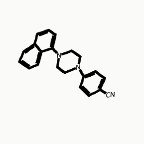 N#Cc1ccc(N2CCN(c3cccc4ccccc34)CC2)cc1